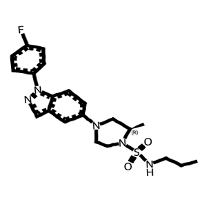 CCCNS(=O)(=O)N1CCN(c2ccc3c(cnn3-c3ccc(F)cc3)c2)C[C@H]1C